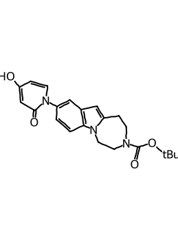 CC(C)(C)OC(=O)N1CCc2cc3cc(-n4ccc(O)cc4=O)ccc3n2CC1